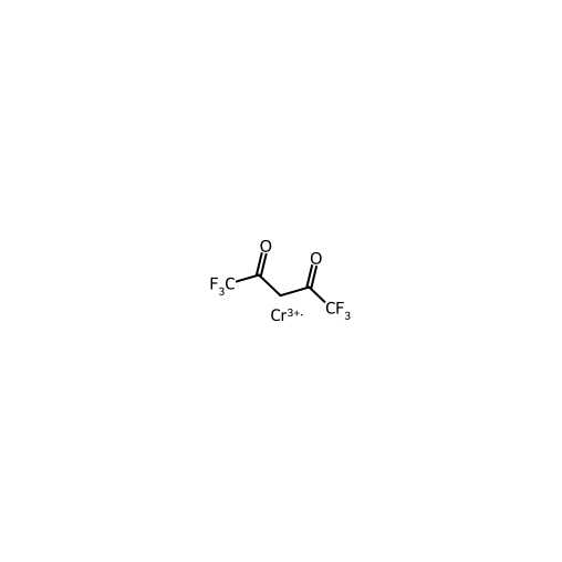 O=C(CC(=O)C(F)(F)F)C(F)(F)F.[Cr+3]